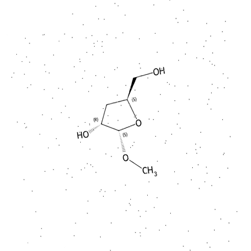 CO[C@H]1O[C@H](CO)C[C@H]1O